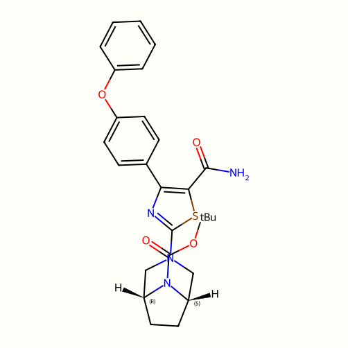 CC(C)(C)OC(=O)N1[C@@H]2CC[C@H]1CN(c1nc(-c3ccc(Oc4ccccc4)cc3)c(C(N)=O)s1)C2